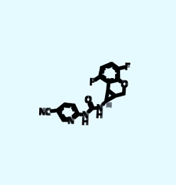 N#Cc1ccc(NC(=O)N[C@@H]2C3COc4c(F)ccc(F)c4C32)nc1